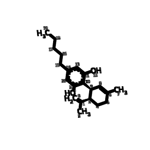 C=C(C)[C@@H]1CCC(C)=C[C@@H]1c1c(O)cc(CCCCC)cc1O